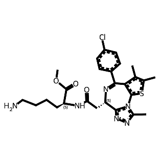 COC(=O)[C@H](CCCCN)NC(=O)C[C@@H]1N=C(c2ccc(Cl)cc2)c2c(sc(C)c2C)-n2c(C)nnc21